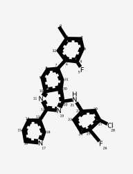 Cc1ccc(F)c(-c2ccc3nc(-c4cccnc4)nc(Nc4ccc(F)c(Cl)c4)c3c2)c1